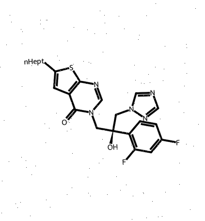 CCCCCCCc1cc2c(=O)n(C[C@](O)(Cn3cncn3)c3ccc(F)cc3F)cnc2s1